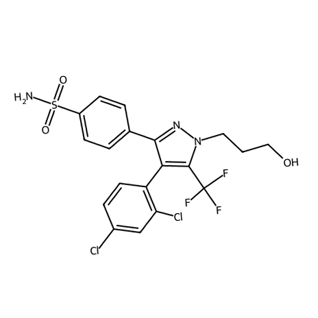 NS(=O)(=O)c1ccc(-c2nn(CCCO)c(C(F)(F)F)c2-c2ccc(Cl)cc2Cl)cc1